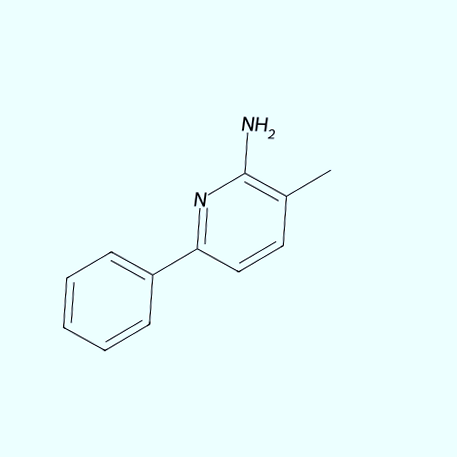 Cc1ccc(-c2ccccc2)nc1N